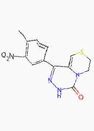 Cc1ccc(C2=NNC(=O)N3CCSC=C23)cc1[N+](=O)[O-]